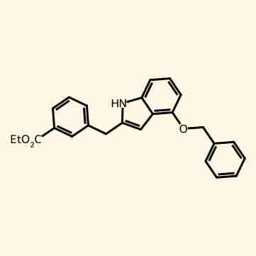 CCOC(=O)c1cccc(Cc2cc3c(OCc4ccccc4)cccc3[nH]2)c1